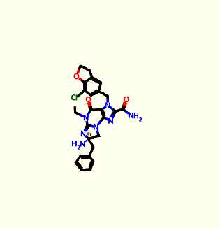 CCN1C(=O)c2c(nc(C(N)=O)n2Cc2cc(Cl)c3c(c2)CCO3)N2C[C@@](N)(Cc3ccccc3)N=C12